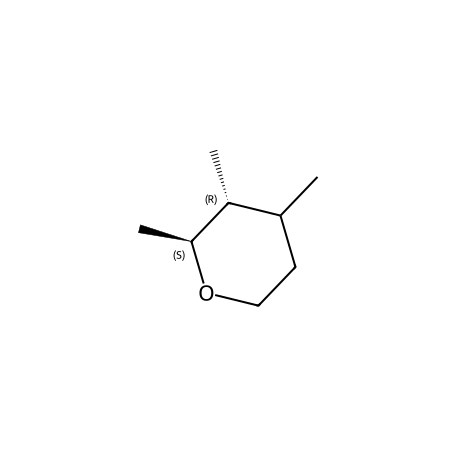 CC1CCO[C@@H](C)[C@@H]1C